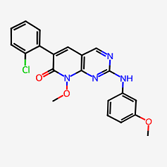 COc1cccc(Nc2ncc3cc(-c4ccccc4Cl)c(=O)n(OC)c3n2)c1